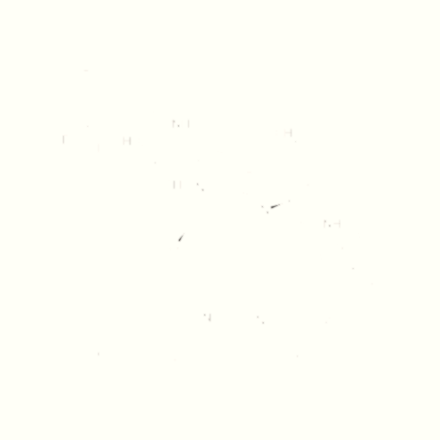 C=C[C@@H]1C[C@]1(NC(=O)[C@@H]1C[C@@H](Oc2cc(-c3nc(C(C)C)cs3)nc3c(C)c(OC)ccc23)CN1C(=O)[C@@H](Nc1ccc(F)c(C(F)(F)F)c1)C(C)(C)C)C(=O)NS(=O)(=O)C1(C)CC1